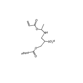 C=CC(=O)OC(C)NCC(COC(=O)CCCCC)S(=O)(=O)O